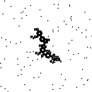 CCc1cc(O)ccc1-c1ccc2c(-c3nc4c([nH]3)CN(C)[C@H](C(=O)N3CCN(C(=O)OC(C)(C)C)C[C@@H]3C)C4)n[nH]c2c1